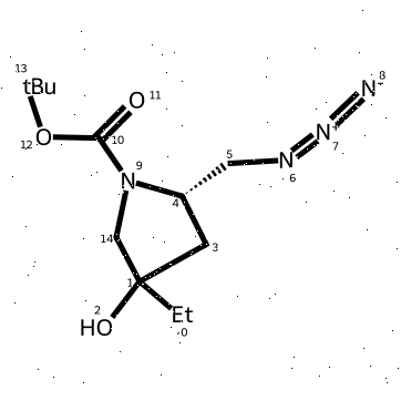 CCC1(O)C[C@@H](CN=[N+]=[N-])N(C(=O)OC(C)(C)C)C1